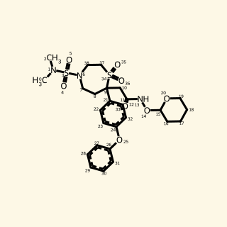 CN(C)S(=O)(=O)N1CCC(CC(=O)NOC2CCCCO2)(c2ccc(Oc3ccccc3)cc2)S(=O)(=O)CC1